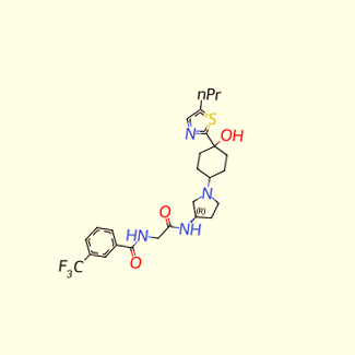 CCCc1cnc(C2(O)CCC(N3CC[C@@H](NC(=O)CNC(=O)c4cccc(C(F)(F)F)c4)C3)CC2)s1